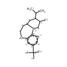 CC(C)C1CC2CCOc3cc(C(F)(F)F)cnc3N2CC1F